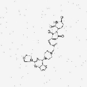 O=C1CCC(N2C(=O)c3ccc(CN4CCN(c5nc(N6CCOCC6)nc6ccsc56)CC4)cc3C2=O)C(=O)N1